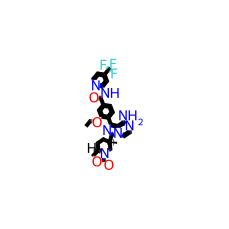 CCOc1cc(C(=O)Nc2cc(C(F)(F)F)ccn2)ccc1-c1nc([C@@]2(C)CC[C@@H]3COC(=O)N3C2)n2ccnc(N)c12